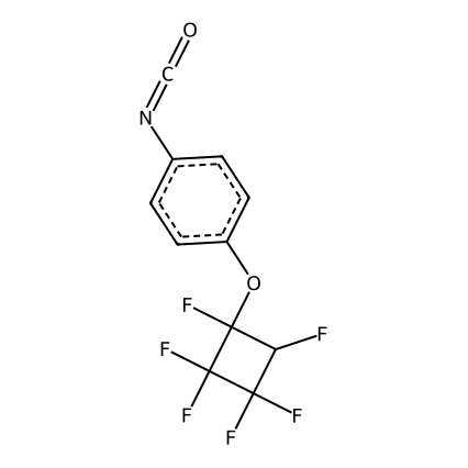 O=C=Nc1ccc(OC2(F)C(F)C(F)(F)C2(F)F)cc1